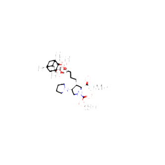 COC(=O)[C@@H]1[C@H](CCCB2O[C@@H]3C[C@@H]4C[C@@H](C4(C)C)[C@]3(C)O2)[C@@H](N2CCCC2)CN1C(=O)OC(C)(C)C